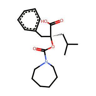 CC(C)C[C@@](Cc1ccccc1)(OC(=O)N1CCCCCC1)C(=O)O